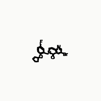 O=C1c2cc(Br)cnc2CCN1Cc1cc(F)ccc1OC1CCCC1